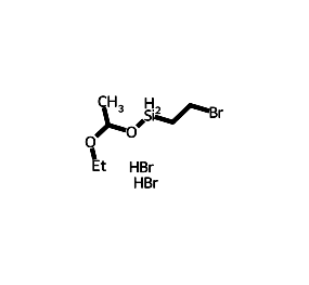 Br.Br.CCOC(C)O[SiH2]CCBr